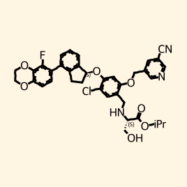 CC(C)OC(=O)[C@H](CO)NCc1cc(Cl)c(O[C@H]2CCc3c(-c4ccc5c(c4F)OCCO5)cccc32)cc1OCc1cncc(C#N)c1